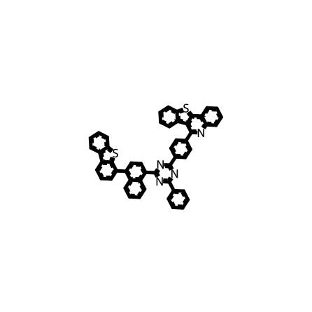 c1ccc(-c2nc(-c3ccc(-c4nc5ccccc5c5sc6ccccc6c45)cc3)nc(-c3ccc(-c4cccc5c4sc4ccccc45)c4ccccc34)n2)cc1